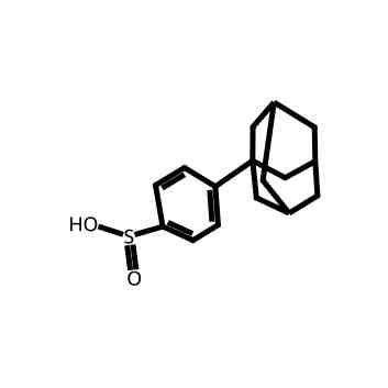 O=S(O)c1ccc(C23CC4CC(CC(C4)C2)C3)cc1